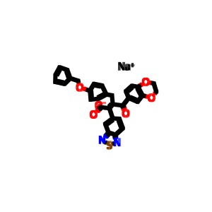 O=C([O-])/C(=C(\Cc1ccc(OCc2ccccc2)cc1)C(=O)c1ccc2c(c1)OCCO2)c1ccc2nsnc2c1.[Na+]